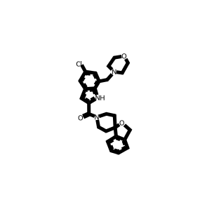 O=C(c1cc2cc(Cl)cc(CN3CCOCC3)c2[nH]1)N1CCC2(CC1)OCc1ccccc12